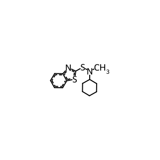 CN(Sc1nc2ccccc2s1)C1CCCCC1